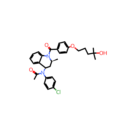 CC(=O)N(c1ccc(Cl)cc1)[C@@H]1C[C@H](C)N(C(=O)c2ccc(OCCCC(C)(C)O)cc2)c2ccccc21